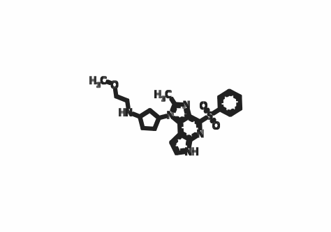 COCCNC1CCC(n2c(C)nc3c(S(=O)(=O)c4ccccc4)nc4[nH]ccc4c32)C1